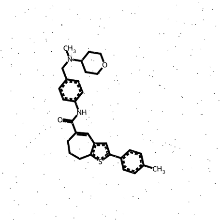 Cc1ccc(-c2cc3c(s2)CCCC(C(=O)Nc2ccc(CN(C)C4CCOCC4)cc2)=C3)cc1